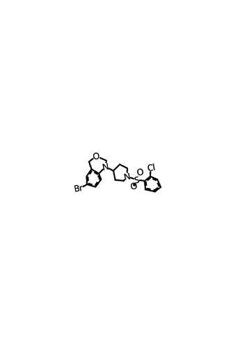 O=S(=O)(c1ccccc1Cl)N1CCC(N2COCc3cc(Br)ccc32)CC1